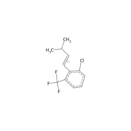 CC(C)/C=C/c1c(Cl)cccc1C(F)(F)F